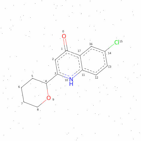 O=c1cc(C2CCCCO2)[nH]c2ccc(Cl)cc12